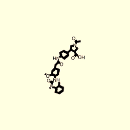 COc1cc(CC(=O)Nc2ccc(C3CN(C(C)=O)CC3C(=O)O)cc2)ccc1NC(=O)N(C)c1ccccc1C